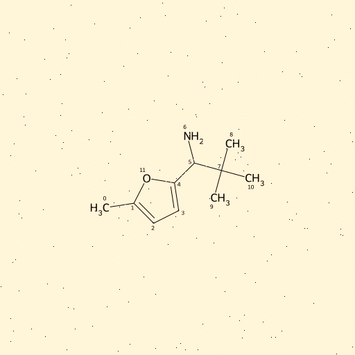 Cc1ccc(C(N)C(C)(C)C)o1